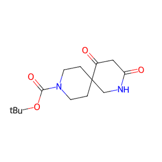 CC(C)(C)OC(=O)N1CCC2(CC1)CNC(=O)CC2=O